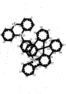 c1ccc2c(c1)Sc1ccccc1N2c1ccc(-n2c3ccccc3c3ccc4c(c32)C2(c3ccccc3-c3ccccc32)c2ccccc2-4)cc1